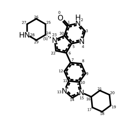 O=c1[nH]cnc2c(-c3ccc4c(c3)ncn4C3CCCCC3)cn([C@H]3CCCNC3)c12